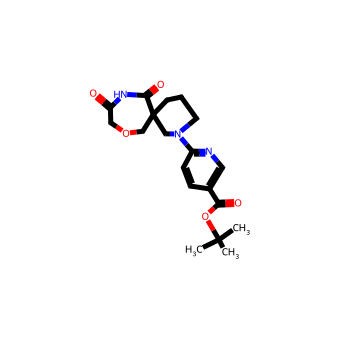 CC(C)(C)OC(=O)c1ccc(N2CCCC3(COCC(=O)NC3=O)C2)nc1